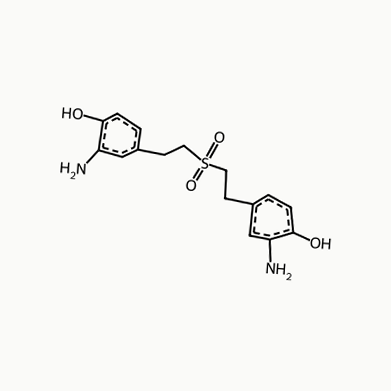 Nc1cc(CCS(=O)(=O)CCc2ccc(O)c(N)c2)ccc1O